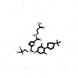 Cc1cc(S[C@H](CCC(F)(F)F)c2ccc(C(=O)NCCC(=O)O)s2)cc(C)c1-c1ccc(C(C)(C)C)cc1